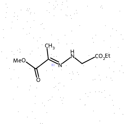 CCOC(=O)CN/N=C(\C)C(=O)OC